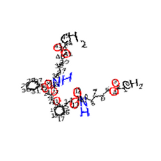 C=CC(=O)OCCCCCNC(=O)OCc1ccccc1OCC(COc1ccccc1)OC(=O)NCCCCCOC(=O)C=C